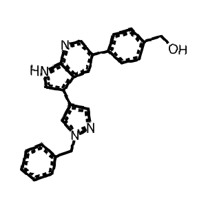 OCc1ccc(-c2cnc3[nH]cc(-c4cnn(Cc5ccccc5)c4)c3c2)cc1